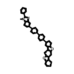 Cn1c(-c2ccccc2)nc2cc(-c3ccc(-c4ccc(-c5ccc6oc7cc8c(cc7c6c5)oc5ccccc58)cc4)cc3)ccc21